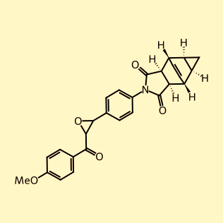 COc1ccc(C(=O)C2OC2c2ccc(N3C(=O)[C@@H]4[C@@H]5C=C[C@@H]([C@H]6C[C@@H]56)[C@@H]4C3=O)cc2)cc1